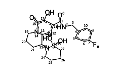 O=C(NCc1ccc(F)cc1)c1nc2n(c(=O)c1O)CCCC2N1CCCCS1(O)O